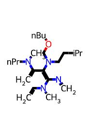 C=CN(C)/C(N=C)=C(\C(=C)N(C)CCC)N(CCC(C)C)COCCCC